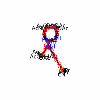 CC(=O)CCC1OC(OCCOCCNC(=O)C(CCC(=O)NC2CCC(=O)NCCOCCOC3OC(COC(C)=O)C(OC(C)=O)C(OC(C)=O)C3N(C(C)=O)C(=O)OCC3OC(OCCOCCCCNC2=O)C(NC(C)=O)C(OC(C)=O)C3OC(C)=O)NC(=O)CCOCCOCCOCCOCCOCCOCCOP(OCCC#N)N(C(C)C)C(C)C)C(NC(C)=O)C(OC(C)=O)C1OC(C)=O